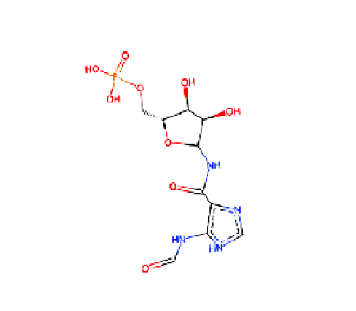 O=CNc1[nH]cnc1C(=O)NC1O[C@H](COP(=O)(O)O)[C@@H](O)[C@H]1O